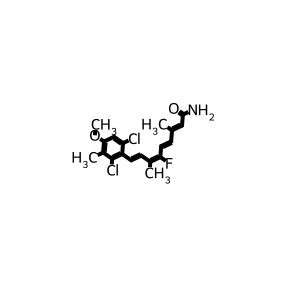 COc1cc(Cl)c(/C=C/C(C)=C(F)\C=C\C(C)=C\C(N)=O)c(Cl)c1C